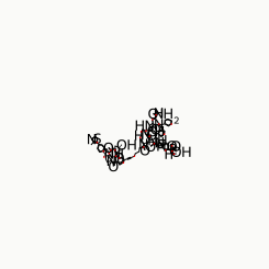 Cc1ncsc1-c1ccc([C@H](C)NC(=O)[C@@H]2C[C@@H](O)CN2C(=O)[C@@H]2CCCCN2C(=O)c2ccc(C#CCCCCC(=O)N3CC[C@H]4CC[C@@H](C(=O)N[C@@H](CCC(N)=O)C(=O)NC(c5ccccc5)c5ccccc5)N4C(=O)[C@@H](NC(=O)c4cc5cc(C(F)(F)P(=O)(O)O)ccc5[nH]4)C3)cc2)cc1